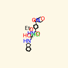 CCOc1cc(C(=O)N2C3CCC2COC3)ccc1C(=O)NC[C@@H](O)CNC1Cc2ccccc2C1.Cl